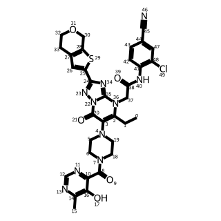 CCc1c(N2CCN(C(=O)c3ncnc(C)c3O)CC2)c(=O)n2nc(-c3cc4c(s3)COCC4)nc2n1CC(=O)Nc1ccc(C#N)cc1Cl